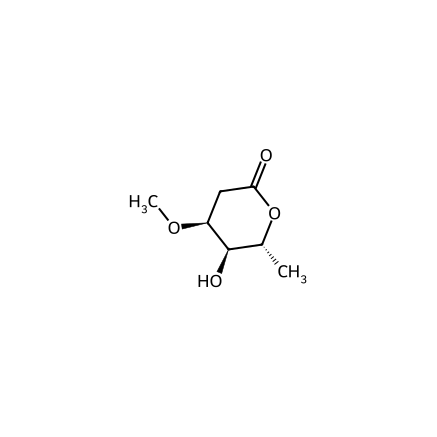 CO[C@H]1CC(=O)O[C@H](C)[C@H]1O